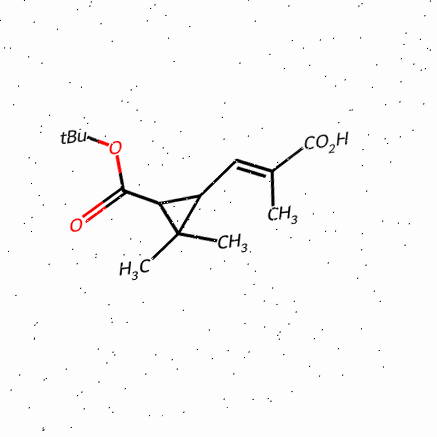 C/C(=C\C1C(C(=O)OC(C)(C)C)C1(C)C)C(=O)O